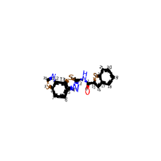 O=C(Nc1nc2ccc3scnc3c2s1)c1cc2ccccc2s1